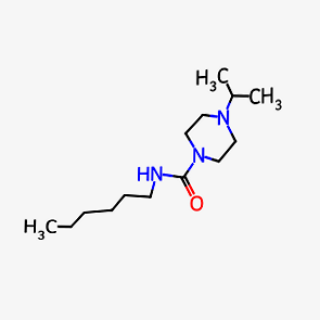 CCCCCCNC(=O)N1CCN(C(C)C)CC1